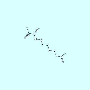 C=C(C)CCCCCCOC(=O)C(=C)C